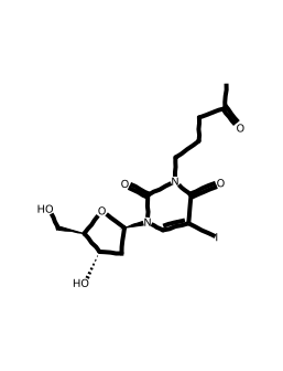 CC(=O)CCCn1c(=O)c(I)cn([C@H]2C[C@H](O)[C@@H](CO)O2)c1=O